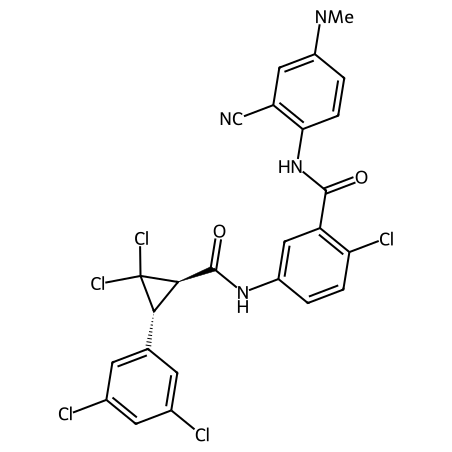 CNc1ccc(NC(=O)c2cc(NC(=O)[C@H]3[C@H](c4cc(Cl)cc(Cl)c4)C3(Cl)Cl)ccc2Cl)c(C#N)c1